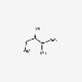 COCC(C(C)C)C(OC)C(C)(C)C